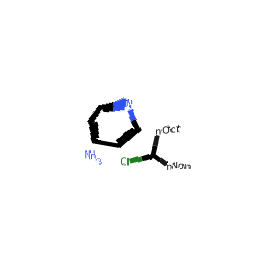 CCCCCCCCCC(Cl)CCCCCCCC.N.c1ccncc1